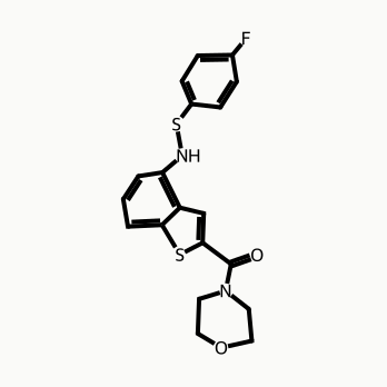 O=C(c1cc2c(NSc3ccc(F)cc3)cccc2s1)N1CCOCC1